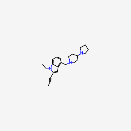 CC#Cc1cc2c(CN3CCC(N4CCCC4)CC3)cccc2n1CC